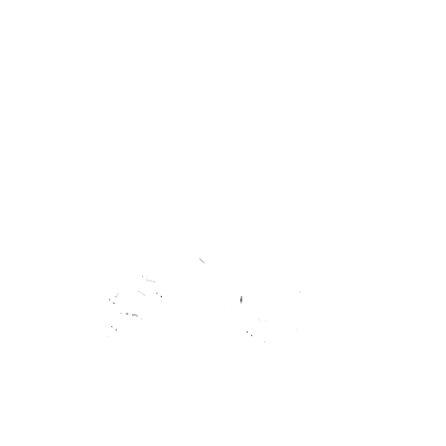 CCCCCCCCCCCCCCCC(=O)OCC(CCOC(=O)[C@@H](N)[C@@H](C)CC)Cn1cnc2cnc(N)nc21